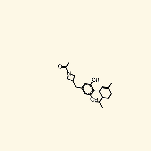 CC(=O)N1CC(Cc2cc(O)c([C@@H]3C=C(C)CCC3C(C)C)c(O)c2)C1